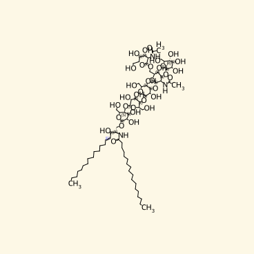 CCCCCCCCCCCCC/C=C/[C@@H](O)[C@H](CO[C@@H]1OC(CO)[C@@H](O[C@@H]2OC(CO)[C@H](O[C@@H]3OC(CO)[C@H](O)[C@H](O[C@@H]4OC(CO[C@@H]5OC(CO)[C@@H](O)[C@H](O)C5NC(C)=O)[C@H](O)[C@H](O[C@@H]5OC(CO)[C@H](O)[C@H](O)C5O)C4NC(C)=O)C3O)[C@H](O)C2O)[C@H](O)C1O)NC(=O)CCCCCCCCCCCCCCCCC